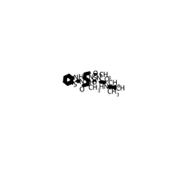 C#CC(C)(C)NC(=O)CN(C)S(=O)(=O)N1CC[C@H]2[C@H]1[C@H](C)C(=O)N2c1nc2ccccc2s1